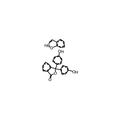 C1=Cc2ccccc2ON1.O=C1OC(c2ccc(O)cc2)(c2ccc(O)cc2)c2ccccc21